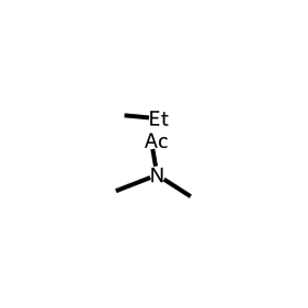 CC(=O)N(C)C.CCC